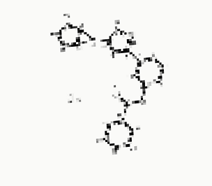 O=C(C[n+]1cccc(-c2cc(C3c4ccsc43)n[nH]2)c1)c1ccccc1.[Cl-]